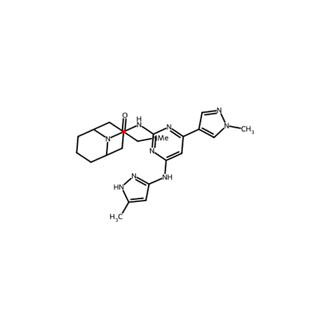 CNCC(=O)N1C2CCCC1CC(Nc1nc(Nc3cc(C)[nH]n3)cc(-c3cnn(C)c3)n1)C2